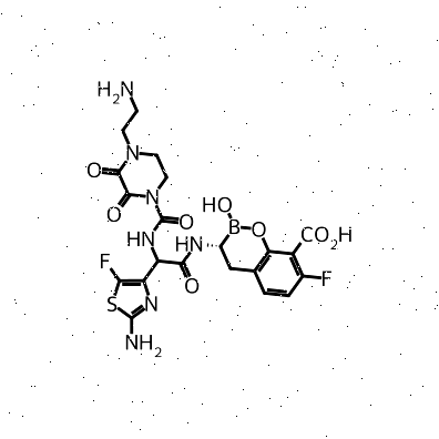 NCCN1CCN(C(=O)NC(C(=O)N[C@H]2Cc3ccc(F)c(C(=O)O)c3OB2O)c2nc(N)sc2F)C(=O)C1=O